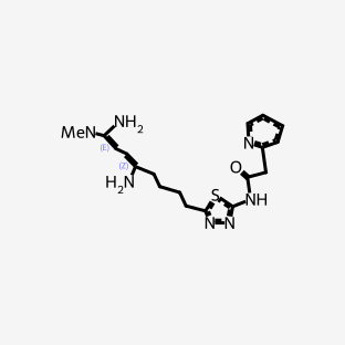 CN/C(N)=C/C=C(\N)CCCCc1nnc(NC(=O)Cc2ccccn2)s1